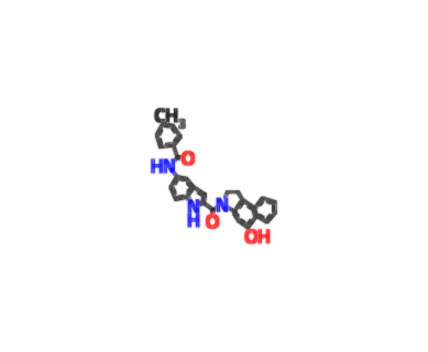 Cc1ccc(C(=O)Nc2ccc3[nH]c(C(=O)N4CCc5c4cc(O)c4ccccc54)cc3c2)cc1